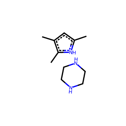 C1CNCCN1.Cc1cc(C)c(C)[nH]1